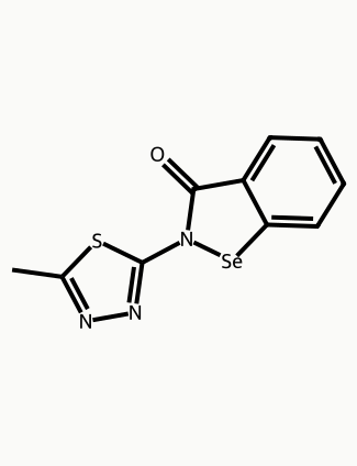 Cc1nnc(-n2[se]c3ccccc3c2=O)s1